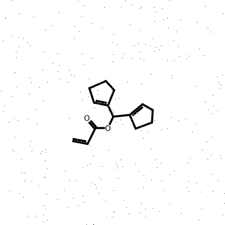 C=CC(=O)OC(C1=CCCC1)C1=CCCC1